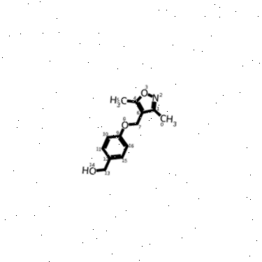 Cc1noc(C)c1COc1ccc(CO)cc1